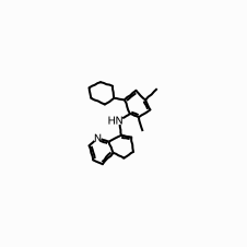 Cc1cc(C)c(NC2=CCCc3cccnc32)c(C2CCCCC2)c1